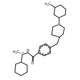 CC1CCCC(N2CCC(Cc3ccc(C(=O)N[C@@H](C)C4CCCCC4)cc3)CC2)C1